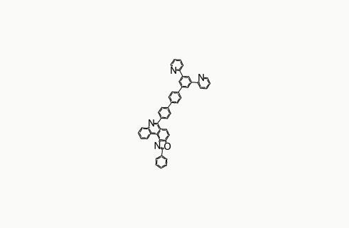 c1ccc(-c2nc3c(ccc4c(-c5ccc(-c6ccc(-c7cc(-c8ccccn8)cc(-c8ccccn8)c7)cc6)cc5)nc5ccccc5c43)o2)cc1